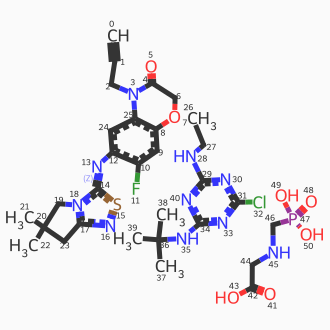 C#CCN1C(=O)COc2cc(F)c(/N=c3\snc4n3CC(C)(C)C4)cc21.CCNc1nc(Cl)nc(NC(C)(C)C)n1.O=C(O)CNCP(=O)(O)O